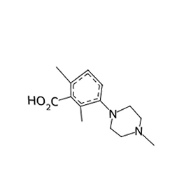 Cc1ccc(N2CCN(C)CC2)c(C)c1C(=O)O